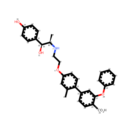 Cc1cc(OCCN[C@H](C)[C@@H](O)c2ccc(O)cc2)ccc1-c1ccc(C(=O)O)c(Oc2ccccc2)c1